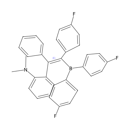 CN(C)c1ccccc1/C(=C(\B(c1ccc(F)cc1)c1ccc(F)cc1)c1ccc(F)cc1)c1ccccc1